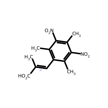 C/C(=C\c1c(C)c([N+](=O)[O-])c(C)c([N+](=O)[O-])c1C)C(=O)O